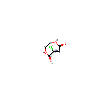 O=C1/C=C(\Cl)C(=O)OCCO1